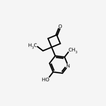 CCC1(c2cc(O)cnc2C)CC(=O)C1